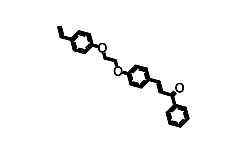 C=Cc1ccc(OCCOc2ccc(C=CC(=O)c3ccccc3)cc2)cc1